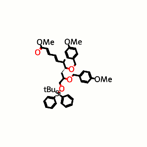 COC(=O)C=CC=CC(C)[C@@H](CC(CO[Si](c1ccccc1)(c1ccccc1)C(C)(C)C)OCc1ccc(OC)cc1)OCc1ccc(OC)cc1